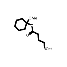 CCCCCCCCCCCC(=O)OC1(OC)CCCCC1